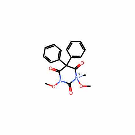 CON1C(=O)C(c2ccccc2)(c2ccccc2)C(=O)[N@+](C)(OC)C1=O